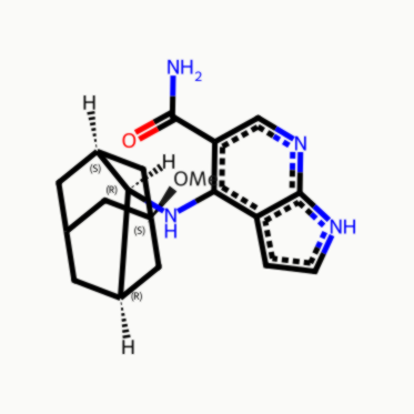 CO[C@]12CC3C[C@H](C1)[C@H](Nc1c(C(N)=O)cnc4[nH]ccc14)[C@@H](C3)C2